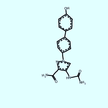 NC(=O)Nc1cn(-c2ccc(-c3ccc(O)cc3)cc2)nc1C(N)=O